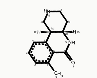 Cc1cccc2c1C(=O)N[C@H]1CCNC[C@@H]21